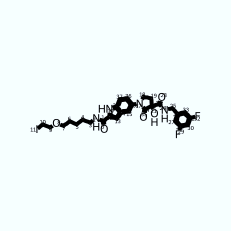 O=C(NCCCCCOCCI)c1cc2cc(N3CCC(O)(C(=O)NCc4cc(F)cc(F)c4)C3=O)ccc2[nH]1